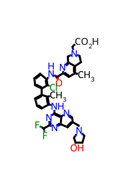 Cc1cc(C(=O)Nc2cccc(-c3cccc(Nc4nc(C(F)F)nc5cc(CN6CCC(O)C6)cnc45)c3C)c2Cl)nc2c1CCN(CC(=O)O)C2